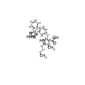 CCCCN1NC(Cc2ccc(-c3ccccc3-c3nn[nH]n3)cc2)=C(C(=O)O)C1C